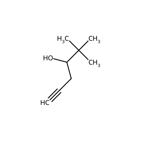 C#CCC(O)C(C)(C)C